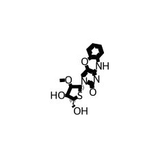 COC1C(O)[C@@H](CO)S[C@H]1n1cc2c(nc1=O)Nc1ccccc1O2